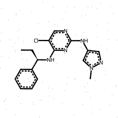 CC[C@@H](Nc1nc(Nc2cnn(C)c2)ncc1Cl)c1ccccc1